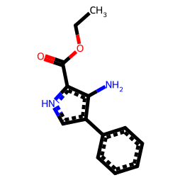 CCOC(=O)c1[nH]cc(-c2ccccc2)c1N